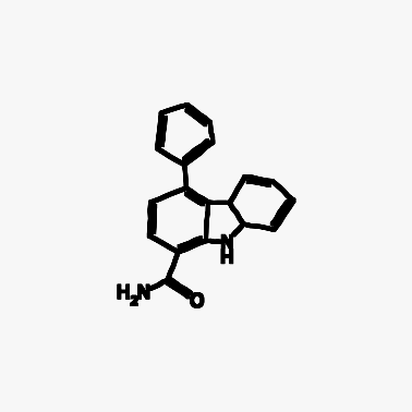 NC(=O)c1ccc(-c2ccccc2)c2c1NC1C=CC=CC21